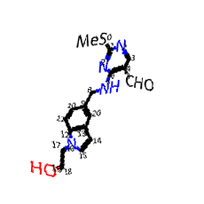 CSc1ncc(C=O)c(NCc2ccc3c(ccn3CCO)c2)n1